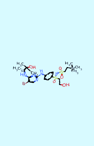 C[C@@H](Nc1nc(Nc2ccc(S(=O)(CCO)=NS(=O)(=O)CC[Si](C)(C)C)cc2)ncc1Br)C(C)(C)O